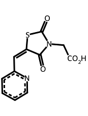 O=C(O)CN1C(=O)SC(=Cc2ccccn2)C1=O